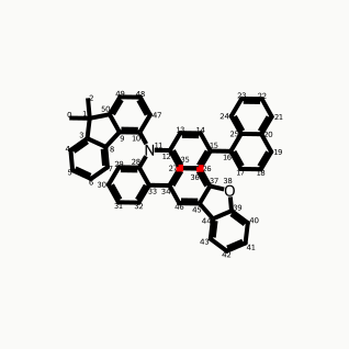 CC1(C)c2ccccc2-c2c(N(c3ccc(-c4cccc5ccccc45)cc3)c3ccccc3-c3ccc4oc5ccccc5c4c3)cccc21